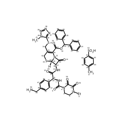 CCN1CCN(C(=O)N[C@H](C(=O)N[C@@H]2C(=O)N3C(C(=O)OC(c4ccccc4)c4ccccc4)=C(CSc4nnnn4C)CS[C@@H]23)c2ccc(CN)cc2)C(=O)C1=O.Cc1ccc(S(=O)(=O)O)cc1